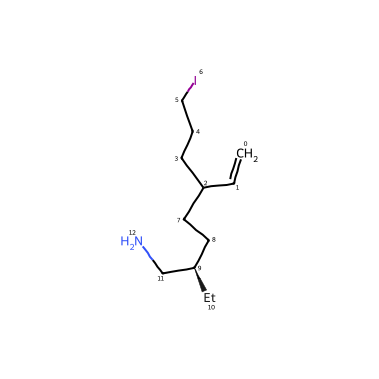 C=CC(CCCI)CC[C@@H](CC)CN